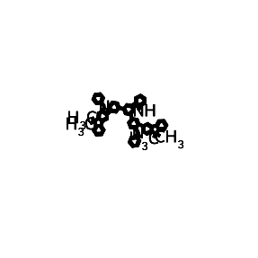 CC1(C)c2ccccc2-c2cc3c4cc(-c5cc(-c6ccc7c(c6)c6cc8c(cc6n7-c6ccccc6)C(C)(C)c6ccccc6-8)c6[nH]c7ccccc7c6c5)ccc4n(-c4ccccc4)c3cc21